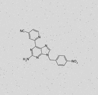 N#Cc1ccnc(-c2nc(N)nc3c2ncn3Cc2ccc([N+](=O)[O-])cc2)c1